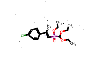 CCOC(OCC)P(=O)(/C=C(\C)c1ccc(Cl)cc1)OCC